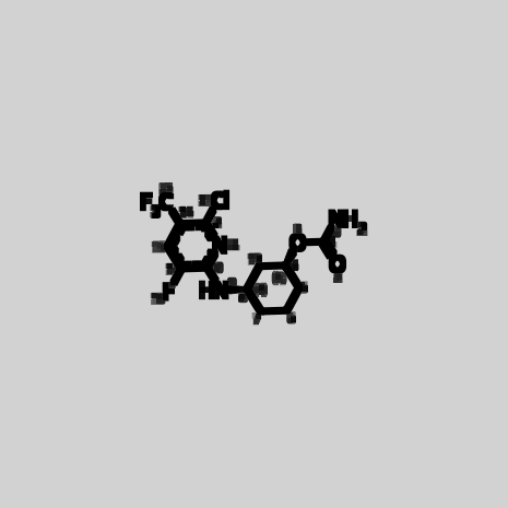 NC(=O)O[C@H]1CCC[C@@H](Nc2nc(Cl)c(C(F)(F)F)cc2F)C1